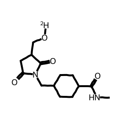 [2H]OCC1CC(=O)N(CC2CCC(C(=O)NC)CC2)C1=O